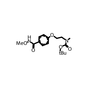 CONC(=O)c1ccc(OCCN(C)C(=O)OC(C)(C)C)cc1